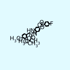 COc1ccc(CN(C(=O)OC(C)(C)C)c2nc3ccc(OS(=O)(=O)c4ccc(F)cc4)cc3[nH]2)cc1Cl